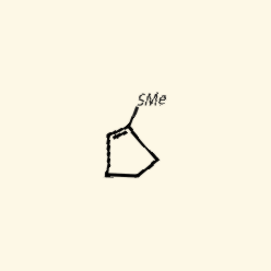 [CH2]SC1=CCCC1